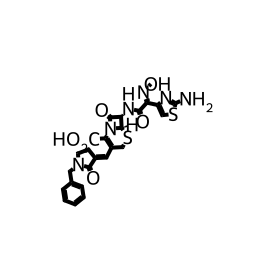 Nc1nc(C(=NO)C(=O)N[C@@H]2C(=O)N3C(C(=O)O)=C(C=C4CCN(Cc5ccccc5)C4=O)CS[C@H]23)cs1